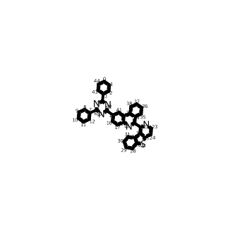 c1ccc(-c2nc(-c3ccccc3)nc(-c3ccc4nc(-c5nccc6sc7ccccc7c56)c5ccccc5c4c3)n2)cc1